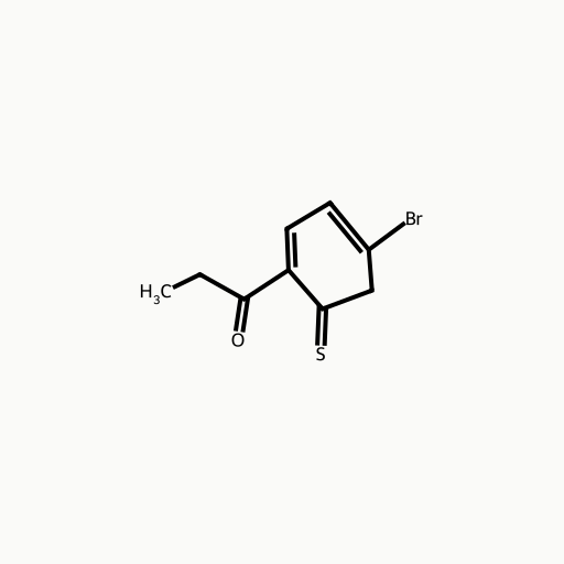 CCC(=O)C1=CC=C(Br)CC1=S